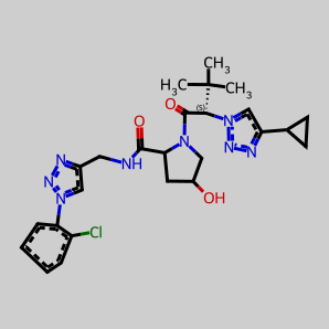 CC(C)(C)[C@@H](C(=O)N1CC(O)CC1C(=O)NCc1cn(-c2ccccc2Cl)nn1)n1cc(C2CC2)nn1